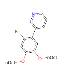 CCCCCCCCOc1cc(Br)c(-c2cccnc2)cc1OCCCCCCCC